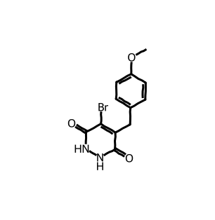 COc1ccc(Cc2c(Br)c(=O)[nH][nH]c2=O)cc1